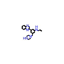 C=CCNc1cc(CN2CCNCC2)cc(-c2cnc3ccccc3n2)c1